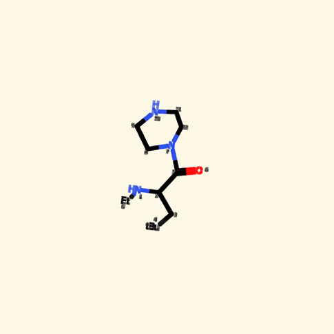 CCNC(CC(C)(C)C)C(=O)N1CCNCC1